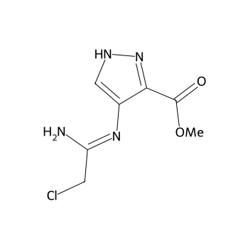 COC(=O)c1n[nH]cc1N=C(N)CCl